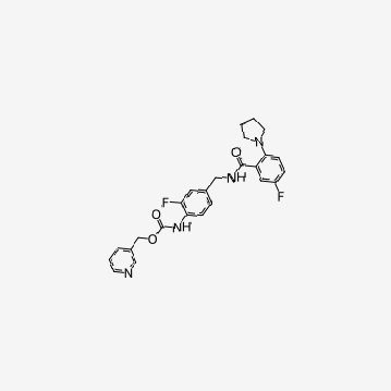 O=C(Nc1ccc(CNC(=O)c2cc(F)ccc2N2CCCC2)cc1F)OCc1cccnc1